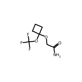 NC(=O)COC1(OC(F)(F)F)CCC1